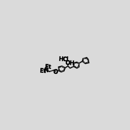 CCN(CC)CCOc1ccc(C(O)Cc2ccc(-c3ccccc3)cc2)cc1.Cl